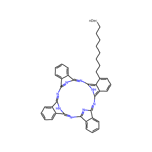 CCCCCCCCCCCCCCCCCCc1cccc2c3nc4nc(nc5[nH]c(nc6nc(nc([nH]3)c12)-c1ccccc1-6)c1ccccc51)-c1ccccc1-4